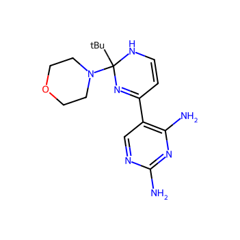 CC(C)(C)C1(N2CCOCC2)N=C(c2cnc(N)nc2N)C=CN1